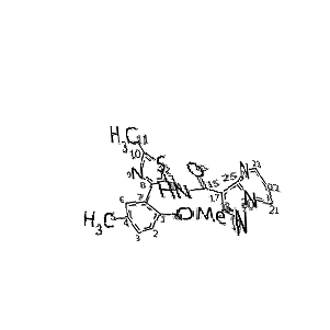 COc1ccc(C)cc1-c1nc(C)sc1NC(=O)c1cnn2cccnc12